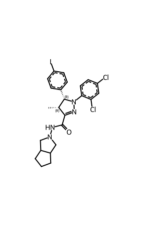 C[C@H]1C(C(=O)NN2CC3CCCC3C2)=NN(c2ccc(Cl)cc2Cl)[C@H]1c1ccc(I)cc1